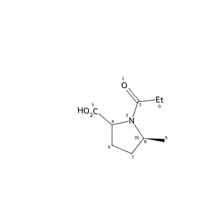 CCC(=O)N1C(C(=O)O)CC[C@@H]1C